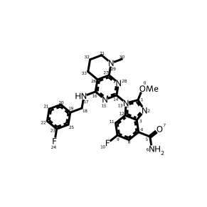 COc1nc2c(C(N)=O)cc(F)cc2n1-c1nc(NCc2cccc(F)c2)c2c(n1)N(C)CCC2